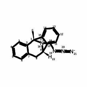 C[C@@]12c3ccccc3C[C@@H](c3ccccc31)[N@@+]2(C)CN=[N+]=[N-]